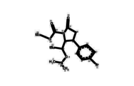 C[SiH](C)OC(C1C(c2ccc(Br)cc2)CC(=O)N1C(=O)OC(C)(C)C)C(C)(C)C